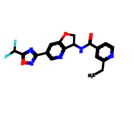 CCc1cc(C(=O)NC2COc3cc(-c4noc(C(F)F)n4)cnc32)ccn1